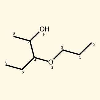 CCCOC(CC)C(C)O